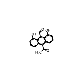 CC(=O)c1c2cccc(O)c2c(C=O)c2c(O)cccc12